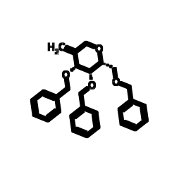 C=C1CO[C@H](COCc2ccccc2)[C@H](OCc2ccccc2)[C@@H]1OCc1ccccc1